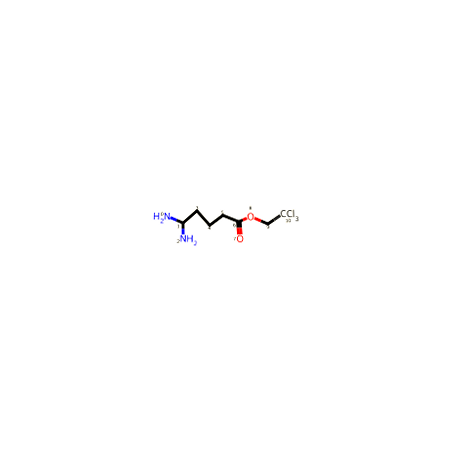 NC(N)CCCC(=O)OCC(Cl)(Cl)Cl